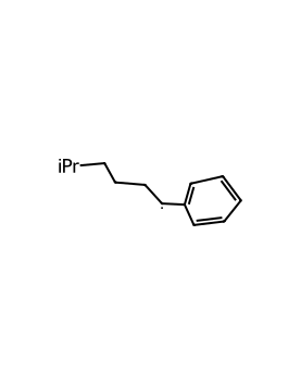 CC(C)CCC[CH]c1ccccc1